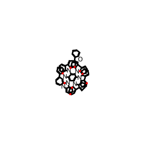 c1ccc2c(c1)ncn2-c1c(-n2c3ccccc3c3ccccc32)c(-n2c3ccccc3c3ccccc32)c(-n2c3ccccc3c3c4oc5ccccc5c4ccc32)c(-n2c3ccccc3c3ccccc32)c1-n1c2ccccc2c2ccccc21